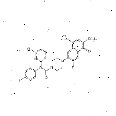 O=C(O)c1cn(C2CC2)c2cc(N3CCN(C(=S)N(c4ccc(F)cc4)c4cncc(Cl)n4)CC3)c(F)cc2c1=O